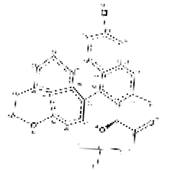 CC(=O)[C@@H](OC(C)(C)C)c1c(C)cc2cc(Cl)ccc2c1-c1ccc2c3c(ccnc13)CCO2